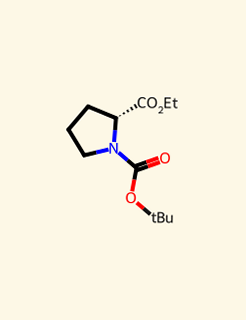 CCOC(=O)[C@H]1CCCN1C(=O)OC(C)(C)C